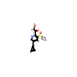 CC[S+]([O-])c1cc(C2CC2)cnc1C(=O)CBr